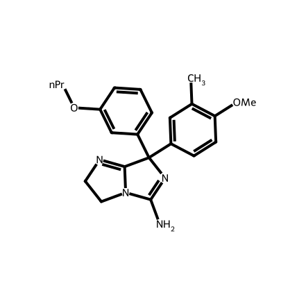 CCCOc1cccc(C2(c3ccc(OC)c(C)c3)N=C(N)N3CCN=C32)c1